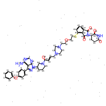 Nc1ncnc2c1c(-c1ccc(Oc3ccccc3)cc1)nn2C1CCCN(C(=O)/C=C/CN2CCN(CCOCCSc3cccc4c3C(=O)N(C3CCC(=O)NC3=O)C4=O)CC2)C1